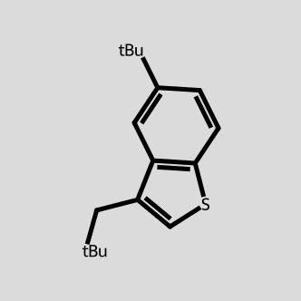 CC(C)(C)Cc1csc2ccc(C(C)(C)C)cc12